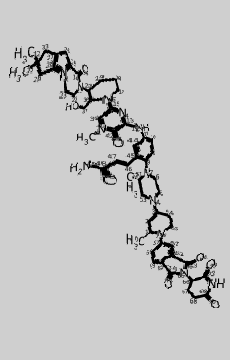 C[C@H]1CC(N2CCN(c3ccc(Nc4nc(N5CCCC(N6CCn7c(cc8c7CC(C)(C)C8)C6=O)C5CO)cn(C)c4=O)cc3C=CC(N)=O)[C@@H](C)C2)CCN1c1ccc2c(c1)C(=O)N(C1CCC(=O)NC1=O)C2=O